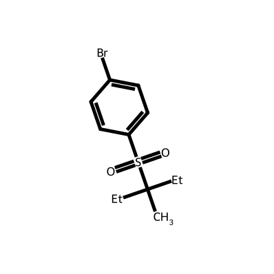 CCC(C)(CC)S(=O)(=O)c1ccc(Br)cc1